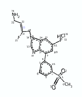 CS(=O)(=O)c1cccc(-c2cc(F)cc3c2ncn3C/C(F)=C/CN)c1.Cl